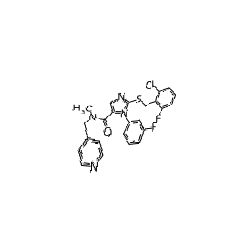 CN(Cc1ccncc1)C(=O)c1cnc(SCc2c(F)cccc2Cl)n1-c1cccc(F)c1